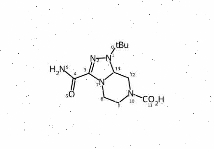 CC(C)(C)N1N=C(C(N)=O)N2CCN(C(=O)O)CC21